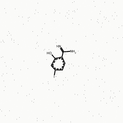 N=C(N)c1ccc(I)cc1O